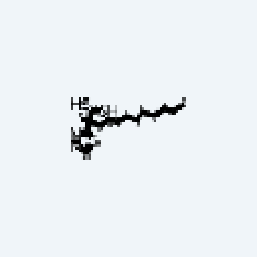 CCCCCCCCCCC(C)(c1nncs1)C(S)S